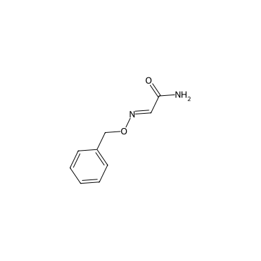 NC(=O)C=NOCc1ccccc1